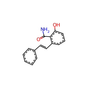 NC(=O)c1c(O)cccc1C=Cc1ccccc1